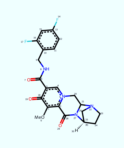 COc1c2n(cc(C(=O)NCc3ccc(F)cc3F)c1=O)CC1N3CC[C@H](C3)N1C2=O